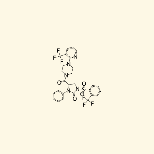 O=C(C1CN(S(=O)(=O)c2ccccc2C(F)(F)F)C(=O)N1c1ccccc1)N1CCN(c2ncccc2C(F)(F)F)CC1